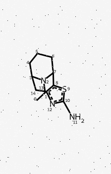 CCN1C2CCCC1c1sc(N)nc1C2